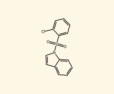 O=S(=O)(c1ccccc1Cl)n1ccc2ccccc21